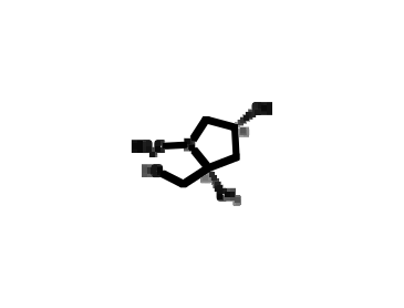 C[C@@]1(CO)C[C@@H](O)CN1C(=O)O